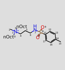 CCCCCCCC[N+](C)(CCCCCCCC)CCCNS(=O)(=O)c1ccc(C)cc1